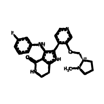 CN1CCC[C@H]1COc1cnccc1-c1[nH]c2c(c1Nc1cccc(F)c1)C(=O)NCC2